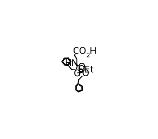 CCOP(=O)(CCc1ccccc1)O[C@@H](Cc1ccccc1)C(=O)NCCC(=O)O